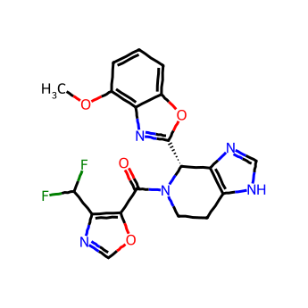 COc1cccc2oc([C@@H]3c4nc[nH]c4CCN3C(=O)c3ocnc3C(F)F)nc12